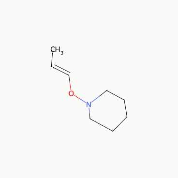 CC=CON1CCCCC1